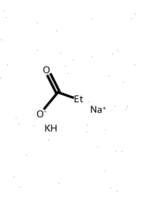 CCC(=O)[O-].[KH].[Na+]